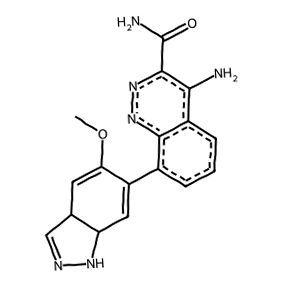 COC1=CC2C=NNC2C=C1c1cccc2c(N)c(C(N)=O)nnc12